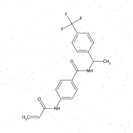 C=CC(=O)Nc1ccc(C(=O)NC(C)c2ccc(C(F)(F)F)cc2)cc1